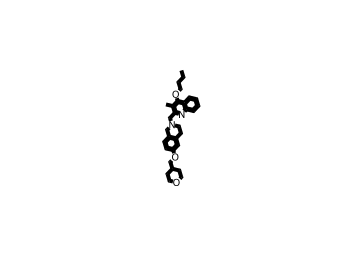 CCCCOc1c(C)c(CN2CCc3cc(OCC4CCOCC4)ccc3C2)nc2ccccc12